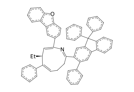 CC[C@H]1/C=C(c2ccc3oc4ccccc4c3c2)\N=C(\c2cc3c(cc2-c2ccccc2)-c2ccccc2C3(c2ccccc2)c2ccccc2)CC/C=C\1c1ccccc1